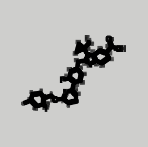 Cc1ccc(COc2cccc(-c3ccc(Cc4nc5ccc(C(=O)O)cc5n4C4(CF)CC4)cc3F)n2)c(F)c1